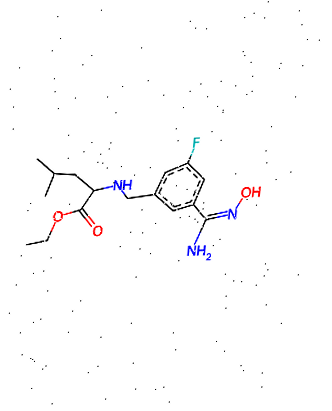 CCOC(=O)C(CC(C)C)NCc1cc(F)cc(/C(N)=N\O)c1